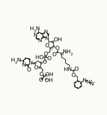 [N-]=[N+]=Nc1ccccc1COC(=O)NCCCC[C@H](N)C(=O)O[C@@H]1[C@@H](COP(=O)(O)O[C@H]2C[C@H](n3ccc(N)nc3=O)O[C@@H]2COP(=O)(O)O)OC(n2cnc3c(N)ncnc32)[C@@H]1O